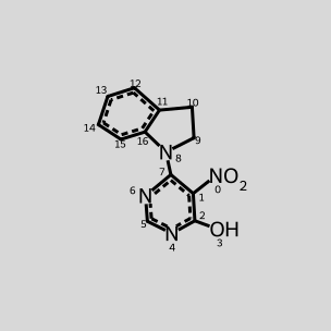 O=[N+]([O-])c1c(O)ncnc1N1CCc2ccccc21